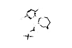 CC(C)(C)OC(=O)N[C@H]1CC(=O)CCO[C@@H]1c1cc(F)ccc1F